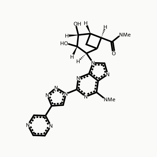 CNC(=O)[C@H]1C2C[C@@H]1[C@@H](O)[C@@H](O)[C@@H]2n1cnc2c(NC)nc(-n3cc(-c4cnccn4)nn3)nc21